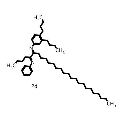 CCCCCCCCCCCCCCCCCCCCC(=Nc1ccc(CCCC)c(CCCC)c1)C(CCCC)=Nc1ccccc1.[Pd]